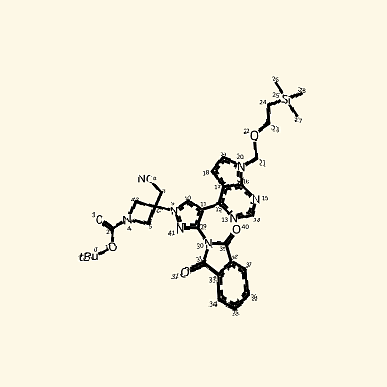 CC(C)(C)OC(=O)N1CC(CC#N)(n2cc(-c3ncnc4c3ccn4COCC[Si](C)(C)C)c(N3C(=O)c4ccccc4C3=O)n2)C1